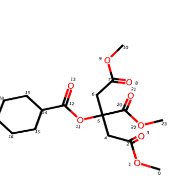 COC(=O)CC(CC(=O)OC)(OC(=O)C1CCCCC1)C(=O)OC